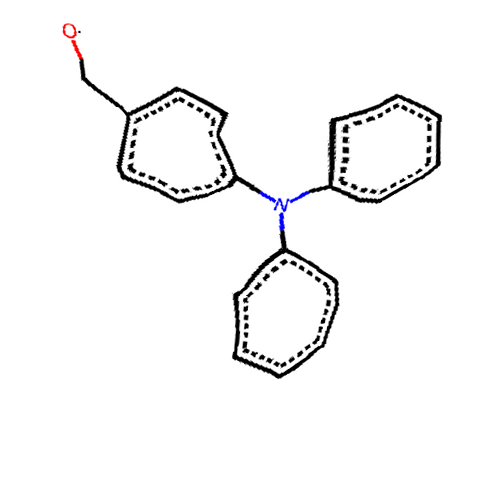 [O]Cc1ccc(N(c2ccccc2)c2ccccc2)cc1